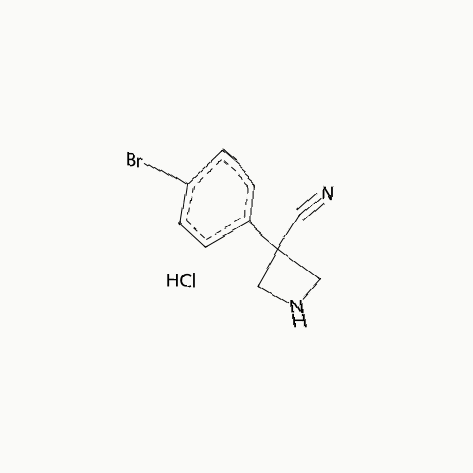 Cl.N#CC1(c2ccc(Br)cc2)CNC1